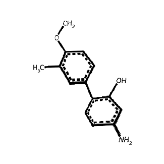 COc1ccc(-c2ccc(N)cc2O)cc1C